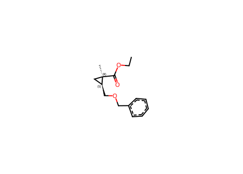 CCOC(=O)[C@]1(C)C[C@@H]1COCc1ccccc1